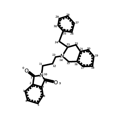 O=C1c2ccccc2C(=O)N1CCCN1Cc2ccccc2CC1Cc1ccccc1